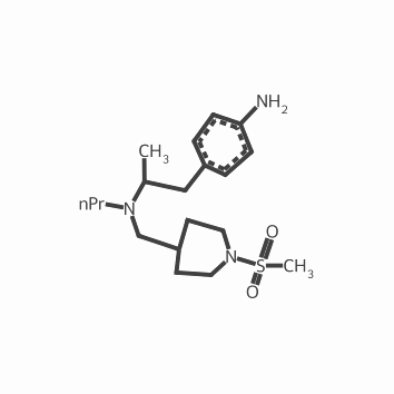 CCCN(CC1CCN(S(C)(=O)=O)CC1)C(C)Cc1ccc(N)cc1